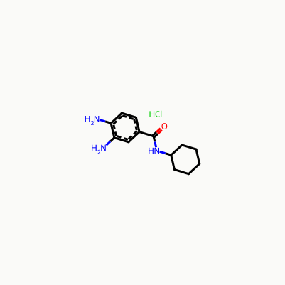 Cl.Nc1ccc(C(=O)NC2CCCCC2)cc1N